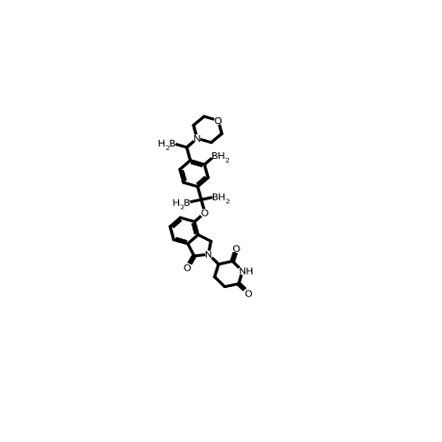 Bc1cc(C(B)(B)Oc2cccc3c2CN(C2CCC(=O)NC2=O)C3=O)ccc1C(B)N1CCOCC1